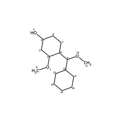 COC1CC(O)CCC1C(OC)C1CCCCC1